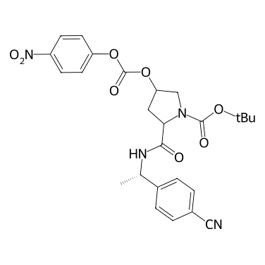 C[C@H](NC(=O)C1CC(OC(=O)Oc2ccc([N+](=O)[O-])cc2)CN1C(=O)OC(C)(C)C)c1ccc(C#N)cc1